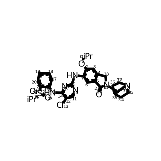 CC(C)Oc1cc2c(cc1Nc1ncc(Cl)c(Nc3ccccc3S(=O)(=O)C(C)C)n1)C(=O)N(C1CN3CCC1CC3)C2